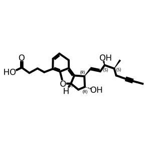 CC#CC[C@H](C)[C@H](O)C=C[C@@H]1C2=C3CC=CC(CCCC(=O)O)=C3O[C@H]2C[C@H]1O